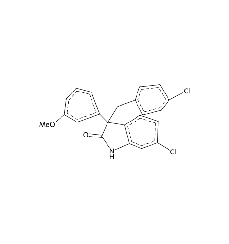 COc1cccc(C2(Cc3ccc(Cl)cc3)C(=O)Nc3cc(Cl)ccc32)c1